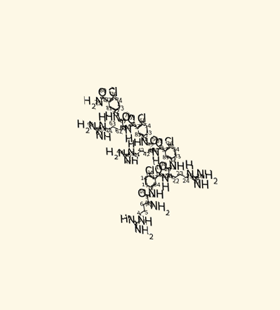 N=C(N)NCCC[C@@H](N)C(=O)Nc1ccc(Cl)c(C(=O)N[C@H](CCCNC(=N)N)C(=O)Nc2ccc(Cl)c(C(=O)N[C@H](CCCNC(=N)N)C(=O)Nc3ccc(Cl)c(C(=O)N[C@H](CCCNC(=N)N)C(=O)Nc4ccc(Cl)c(C(N)=O)c4)c3)c2)c1